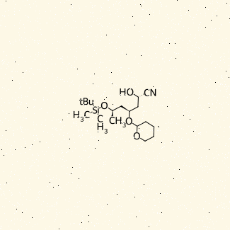 C[C@H](C[C@@H](C[C@H](O)C#N)OC1CCCCO1)O[Si](C)(C)C(C)(C)C